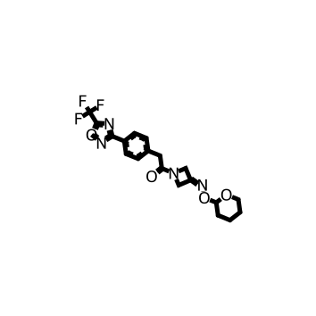 O=C(Cc1ccc(-c2noc(C(F)(F)F)n2)cc1)N1CC(=NOC2CCCCO2)C1